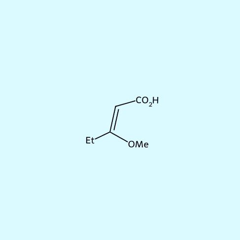 CC/C(=C/C(=O)O)OC